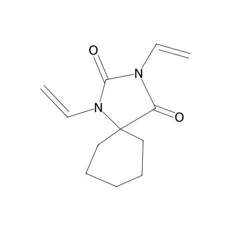 C=CN1C(=O)N(C=C)C2(CCCCC2)C1=O